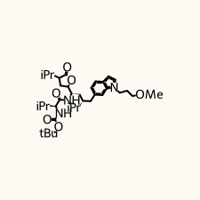 COCCCn1ccc2ccc(C[C@@H](C[C@H](NC(=O)[C@@H](NC(=O)OC(C)(C)C)C(C)C)C3CC(C(C)C)C(=O)O3)C(C)C)cc21